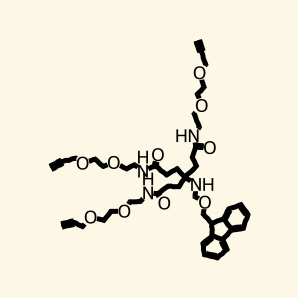 C#CCOCCOCCNC(=O)CCC(CCC(=O)NCCOCCOCC#C)(CCC(=O)NCCOCCOCC#C)NCOCC1c2ccccc2-c2ccccc21